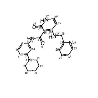 O=C(Nc1cccc(N2CCCCC2)c1)c1c(NCc2ccccn2)cc[nH]c1=O